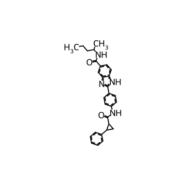 CCCC(C)NC(=O)c1ccc2[nH]c(-c3ccc(NC(=O)C4CC4c4ccccc4)cc3)nc2c1